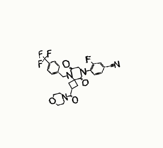 N#Cc1ccc(N2CC(=O)N(Cc3ccc(C(F)(F)F)cc3)C3(CC(C(=O)N4CCOCC4)C3)C2=O)c(F)c1